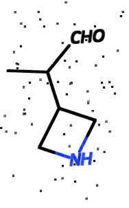 CC(C=O)C1CNC1